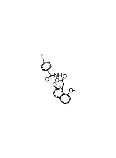 COc1cccc2ccc(=O)n(CC(=O)ONC(=O)c3ccc(F)cc3)c12